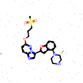 C[C@@H]1CNCCN1c1cccc2oc(-c3cnc4ccc(OCCCS(C)(=O)=O)nn34)cc12